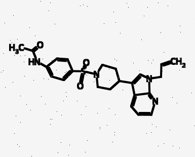 C=CCn1cc(C2CCN(S(=O)(=O)c3ccc(NC(C)=O)cc3)CC2)c2cccnc21